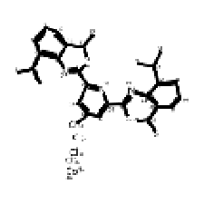 CC(=Nc1c(C(C)C)cccc1C(C)C)c1cc(Cl)cc(C(C)=Nc2c(C(C)C)cccc2C(C)C)n1.[Cl-].[Cl-].[Cl-].[Co+3]